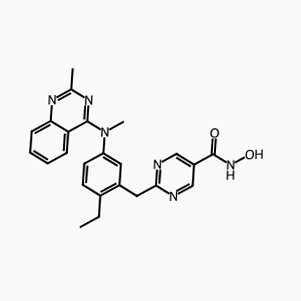 CCc1ccc(N(C)c2nc(C)nc3ccccc23)cc1Cc1ncc(C(=O)NO)cn1